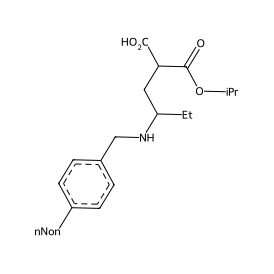 CCCCCCCCCc1ccc(CNC(CC)CC(C(=O)O)C(=O)OC(C)C)cc1